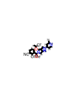 COc1c(C#N)ccc(O[C@H](C)C(F)(F)F)c1C(=O)N1Cc2cn(-c3ccnc(C)c3)nc2C1